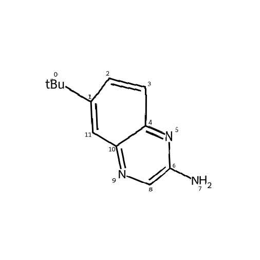 CC(C)(C)c1ccc2nc(N)cnc2c1